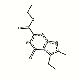 CCOC(=O)c1nc2sc(C)c(CC)c2c(=O)[nH]1